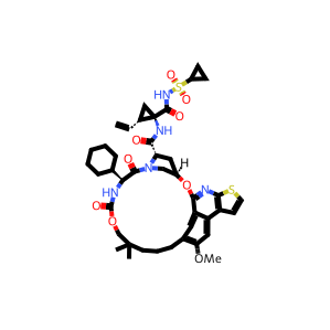 C=C[C@@H]1C[C@]1(NC(=O)[C@@H]1C[C@@H]2CN1C(=O)[C@H](C1CCCCC1)NC(=O)OCC(C)(C)CCCc1cc3c(nc4sccc4c3cc1OC)O2)C(=O)NS(=O)(=O)C1CC1